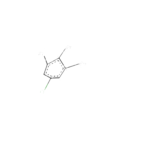 CCC(C)c1cc(Cl)cc(C(C)C)c1C(C)C